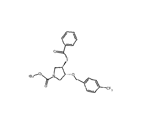 CC(C)(C)OC(=O)N1C[C@@H](OCc2ccc(C(F)(F)F)cc2)[C@H](SC(=O)c2ccccc2)C1